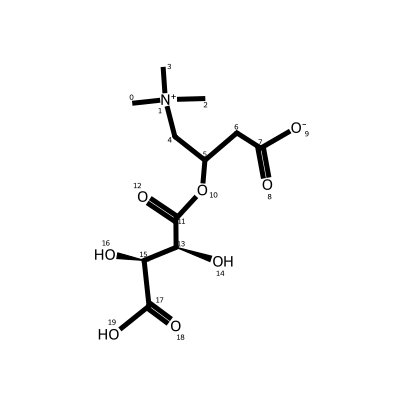 C[N+](C)(C)CC(CC(=O)[O-])OC(=O)[C@@H](O)[C@H](O)C(=O)O